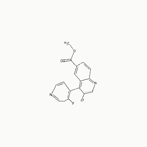 COC(=O)c1ccc2ncc(Cl)c(-c3ccncc3F)c2c1